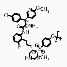 COc1ccc([C@H](c2ccc(Cl)cc2)[C@H](N)C(=O)Nc2cccc(F)c2CCC[C@H]2CNC[C@H](C)N2S(=O)(=O)c2ccc(OC(F)(F)F)cc2)cn1